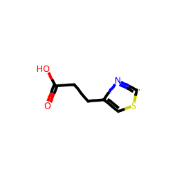 O=C(O)CCc1cs[c]n1